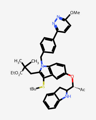 CCOC(=O)C(C)(C)Cc1c(SC(C)(C)C)c2cc(O[C@H](C(C)=O)C3Cc4ccccc4N3)ccc2n1Cc1ccc(-c2ccc(OC)nn2)cc1